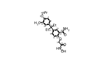 CCCOc1ccc(C(CC)(CC)c2ccc(OCC(=O)NO)c(C(N)=O)c2)cc1C